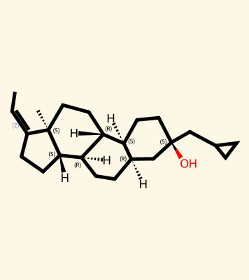 C/C=C1/CC[C@H]2[C@@H]3CC[C@@H]4C[C@@](O)(CC5CC5)CC[C@@H]4[C@H]3CC[C@]12C